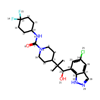 CC(C)(C1CCN(C(=O)NC2CCC(F)(F)CC2)CC1)[C@H](O)c1cc(Cl)cc2cn[nH]c12